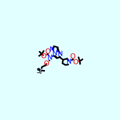 CC(C)(C)OC(=O)N1CCCC(c2cc(N(COCC[Si](C)(C)C)C(=O)OC(C)(C)C)n3nccc3n2)C1